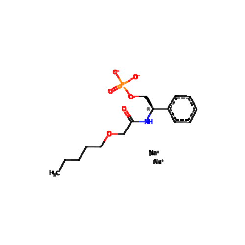 CCCCCOCC(=O)N[C@@H](COP(=O)([O-])[O-])c1ccccc1.[Na+].[Na+]